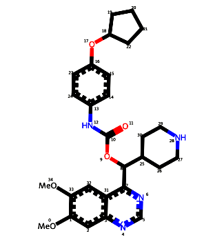 COc1cc2ncnc(C(OC(=O)Nc3ccc(OC4CCCC4)cc3)C3CCNCC3)c2cc1OC